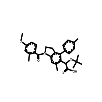 COc1ccc(C(=O)N2CCc3c2cc(C)c(C(OC(C)(C)C)C(=O)O)c3-c2ccc(C)cc2)c(C)c1